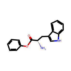 N[C@@H](Cc1c[nH]c2ccccc12)C(=O)Oc1ccccc1